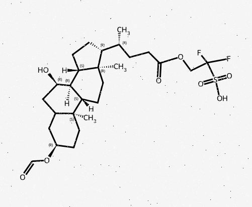 C[C@H](CCC(=O)OCC(F)(F)S(=O)(=O)O)[C@H]1CC[C@H]2[C@@H]3[C@H](O)CC4C[C@H](OC=O)CC[C@]4(C)[C@H]3CC[C@]12C